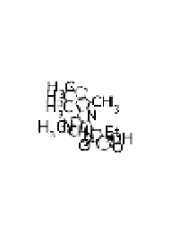 CC[C@@]1(O)C(=O)CCc2c1cc1n(c2=O)Cc2c-1nc1c(C)c3c(c(C)c1c2CN(C)C)C(C)(C)CC3